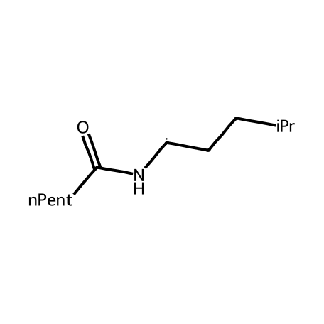 CCCCCC(=O)N[CH]CCC(C)C